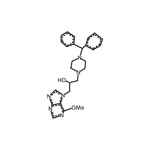 COc1ncnc2ncn(C[C@@H](O)CN3CCN(C(c4ccccc4)c4ccccc4)CC3)c12